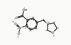 O=C(O)c1cc(C[C@H]2CCOC2)ccc1[N+](=O)[O-]